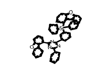 c1ccc(-c2nc(-c3cccc([Si](c4ccccc4)(c4ccccc4)c4cccc5oc6ccccc6c45)c3)nc(-c3cccc4oc5ccccc5c34)n2)cc1